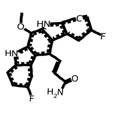 COc1c2[nH]c3ccc(F)cc3c2c(C=CC(N)=O)c2c1[nH]c1ccc(F)cc12